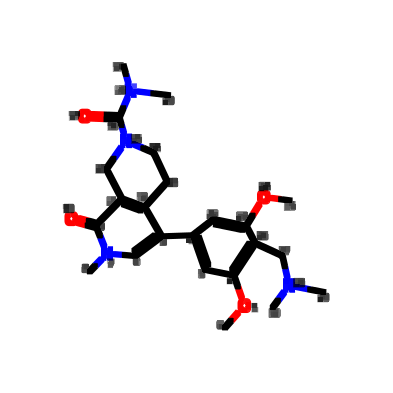 COc1cc(-c2cn(C)c(=O)c3c2CCN(C(=O)N(C)C)C3)cc(OC)c1CN(C)C